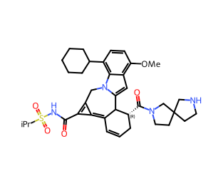 COc1ccc(C2CCCCC2)c2c1cc1n2CC2=C(C(=O)NS(=O)(=O)C(C)C)C2=C2C=CC[C@@H](C(=O)N3CCC4(CCNC4)C3)C21